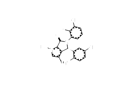 Cc1ccc(Cl)cc1[C@H]1c2c(C(C)C)cn(C)c2C(=O)N1c1cccc(Cl)c1F